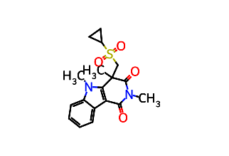 CN1C(=O)c2c(n(C)c3ccccc23)C(C)(CS(=O)(=O)C2CC2)C1=O